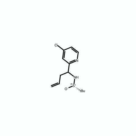 C=CCC(N[S@@+]([O-])C(C)(C)C)c1cc(Cl)ccn1